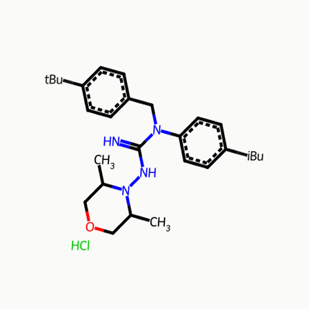 CCC(C)c1ccc(N(Cc2ccc(C(C)(C)C)cc2)C(=N)NN2C(C)COCC2C)cc1.Cl